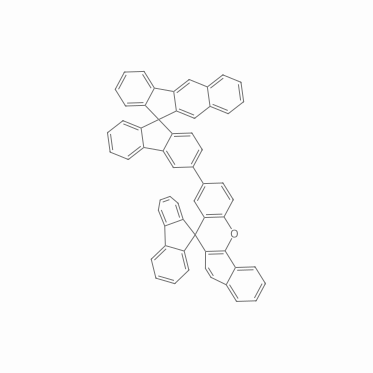 c1ccc2c(c1)-c1cc(-c3ccc4c(c3)C3(c5ccccc5-c5ccccc53)c3ccc5ccccc5c3O4)ccc1C21c2ccccc2-c2cc3ccccc3cc21